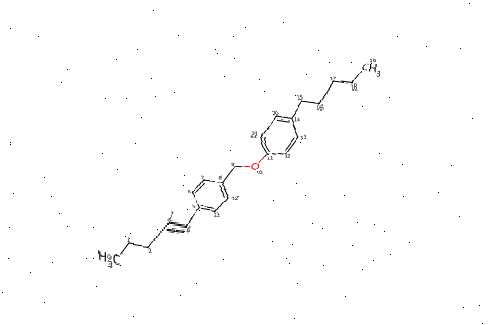 CCCC=Cc1ccc(COc2ccc(CCCCC)cc2)cc1